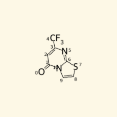 O=c1cc(C(F)(F)F)nc2sccn12